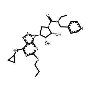 CCCSc1nc(NC2CC2)c2nnn([C@H]3C[C@@H](C(=O)N(CC)Cc4ccncc4)[C@H](O)[C@@H]3O)c2n1